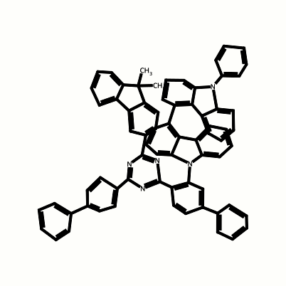 CC1(C)c2ccccc2-c2cc(-c3nc(-c4ccc(-c5ccccc5)cc4)nc(-c4ccc(-c5ccccc5)cc4-n4c5ccccc5c5c(-c6cccc7c6c6ccccc6n7-c6ccccc6)cccc54)n3)ccc21